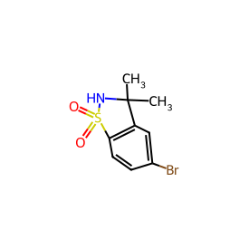 CC1(C)NS(=O)(=O)c2ccc(Br)cc21